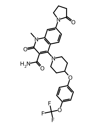 Cn1c(=O)c(C(N)=O)c(N2CCC(Oc3ccc(OC(F)(F)F)cc3)CC2)c2ccc(N3CCCC3=O)cc21